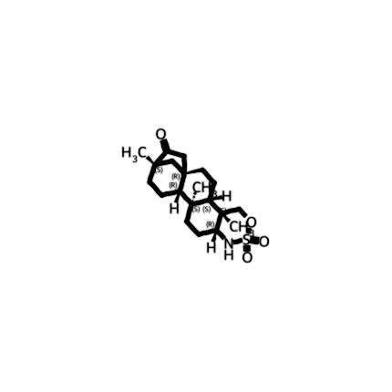 C[C@@]12CC[C@@H]3[C@@](CC[C@@H]4[C@]5(C)COS(=O)(=O)N[C@@H]5CC[C@]43C)(CC1=O)C2